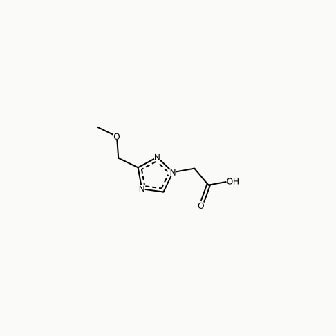 COCc1ncn(CC(=O)O)n1